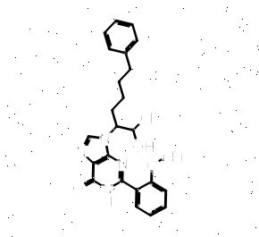 CCCOc1ccccc1-c1nc2c(ncn2C(CCCCc2ccccc2)C(C)O)c(=O)[nH]1